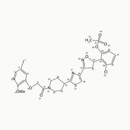 COc1ncc(I)cc1OCC(=O)N1CCC(c2nc(C3=NOC(c4c(Cl)cccc4OS(C)(=O)=O)C3)cs2)CC1